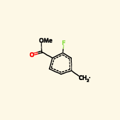 [CH2]c1ccc(C(=O)OC)c(F)c1